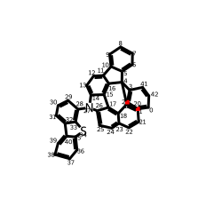 c1ccc(C23c4ccccc4-c4ccc5c(c42)c2c4c3cccc4ccc2n5-c2cccc3c2sc2ccccc23)cc1